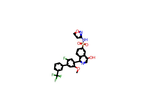 COc1cc(-c2cccc(C(F)(F)F)c2)c(F)cc1-c1ncc(O)c2cc(S(=O)(=O)Nc3ccon3)ccc12